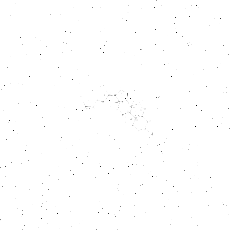 CNC1CC[C@@]2(C)C(CC[C@H]3[C@@H]4CC[C@H]([C@H](C)CCCC(C)C)[C@@]4(C)CC[C@@H]32)C1